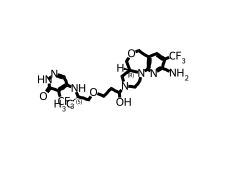 C[C@@H](COCCC(O)N1CCN2c3nc(N)c(C(F)(F)F)cc3COC[C@H]2C1)Nc1cn[nH]c(=O)c1C(F)(F)F